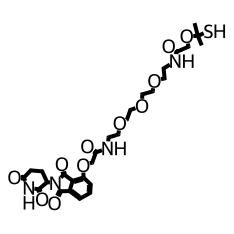 CC(C)(S)OCC(=O)NCCOCCOCCOCCNC(=O)COc1cccc2c1C(=O)N(C1CCC(=O)NC1=O)C2=O